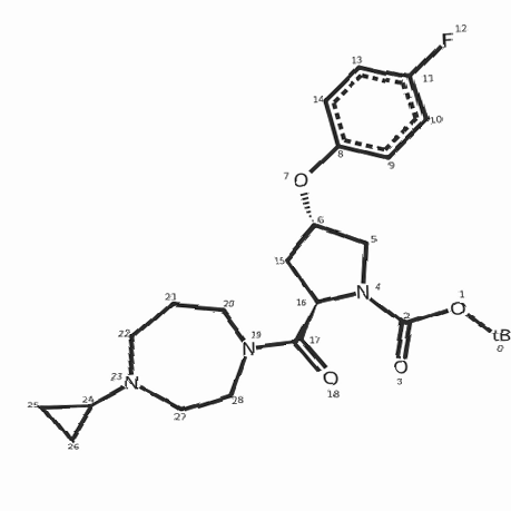 CC(C)(C)OC(=O)N1C[C@@H](Oc2ccc(F)cc2)C[C@@H]1C(=O)N1CCCN(C2CC2)CC1